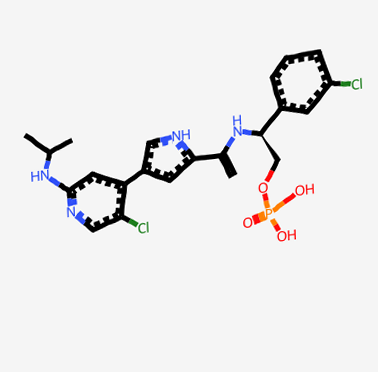 C=C(N[C@H](COP(=O)(O)O)c1cccc(Cl)c1)c1cc(-c2cc(NC(C)C)ncc2Cl)c[nH]1